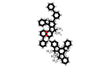 CC1(C)c2cc(N(c3ccc4c(c3)C(C)(C)c3c5c(c6oc7ccccc7c6c3-4)-c3ccccc3C5(C)C)c3ccccc3-c3ccccc3)ccc2-c2c1cc(-c1cccc(-c3ccccc3)c1)c1oc3ccccc3c21